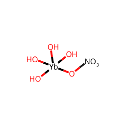 O=[N+]([O-])[O][Yb]([OH])([OH])([OH])[OH]